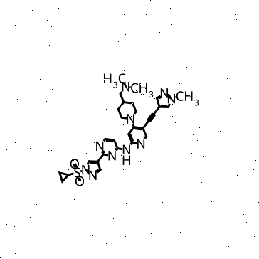 CN(C)CC1CCN(c2cc(Nc3ccnc(-c4cnn(S(=O)(=O)C5CC5)c4)n3)ncc2C#Cc2cnn(C)c2)CC1